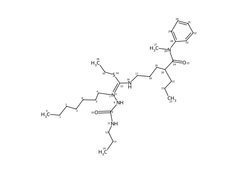 CCCCCCC[N+](NC(=O)NCCC)=C(NCCCC(CCC)C(=O)N(C)c1ccccc1)SCC